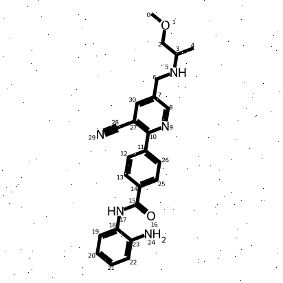 COCC(C)NCc1cnc(-c2ccc(C(=O)Nc3ccccc3N)cc2)c(C#N)c1